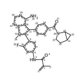 C=C(C)C(=O)Nc1ccc(-c2c(-c3ccc(C(=O)N4CCC5CC54)cc3)c3c(N)ncnc3n2C)c(F)c1